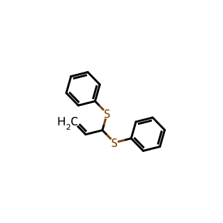 C=CC(Sc1ccccc1)Sc1ccccc1